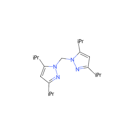 CC(C)c1cc(C(C)C)n(Cn2nc(C(C)C)cc2C(C)C)n1